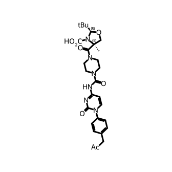 CC(=O)Cc1ccc(-n2ccc(NC(=O)N3CCN(C(=O)[C@]4(C)CO[C@H](C(C)(C)C)N4C(=O)O)CC3)nc2=O)cc1